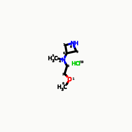 COCCN(C)C1CNC1.Cl